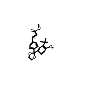 COC(=O)/C=C/c1ccc(C2(c3ccc(OC)c(C(C)(C)C)c3)OCCO2)cc1